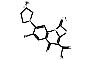 C=c1sc2c(C(=O)O)c(=O)c3cc(F)c(N4CC[C@H](N)C4)cc3n12